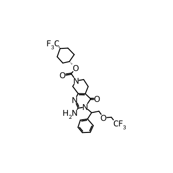 Nc1nc2c(c(=O)n1C(COCC(F)(F)F)c1ccccc1)CCN(C(=O)O[C@H]1CC[C@@H](C(F)(F)F)CC1)C2